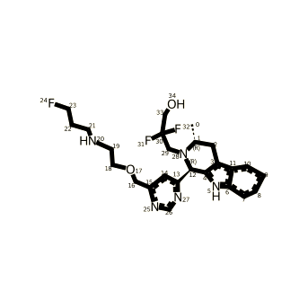 C[C@@H]1Cc2c([nH]c3ccccc23)[C@@H](c2cc(COCCNCCCF)ncn2)N1CC(F)(F)CO